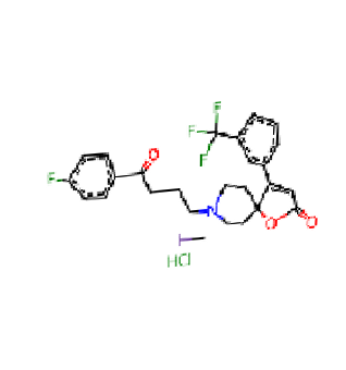 CI.Cl.O=C1C=C(c2cccc(C(F)(F)F)c2)C2(CCN(CCCC(=O)c3ccc(F)cc3)CC2)O1